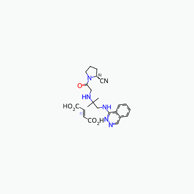 CC(C)(CNc1nncc2ccccc12)NCC(=O)N1CCC[C@H]1C#N.O=C(O)/C=C/C(=O)O